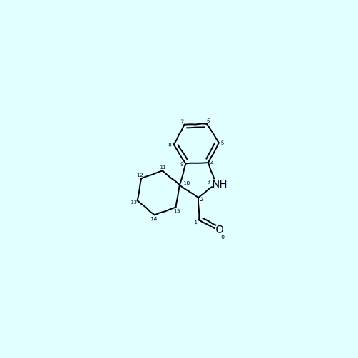 O=CC1Nc2ccccc2C12CCCCC2